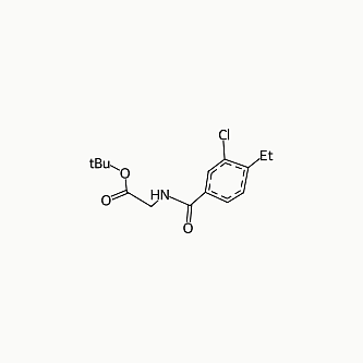 CCc1ccc(C(=O)NCC(=O)OC(C)(C)C)cc1Cl